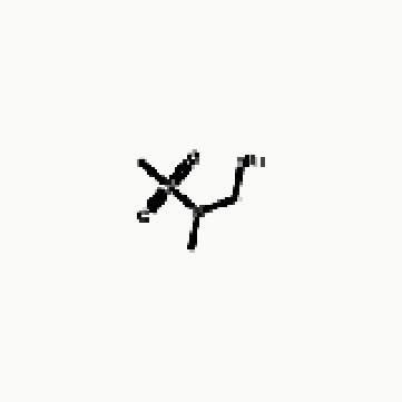 CCCC[CH]N(C)S(C)(=O)=O